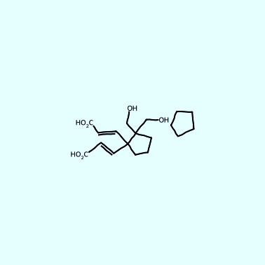 C1CCCC1.O=C(O)C=CC1(C=CC(=O)O)CCCC1(CO)CO